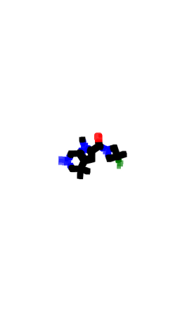 Cn1c(C(=O)N2CC(C)(F)C2)cc2c1CNCC2(C)C